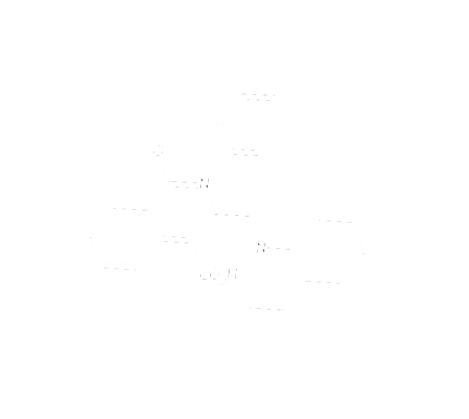 O=C(O)c1c(CN2CCCC3CCCCC32)n(-c2ccccc2)c(=O)c2ccccc12